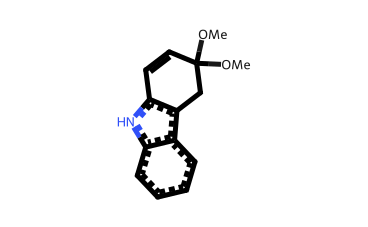 COC1(OC)C=Cc2[nH]c3ccccc3c2C1